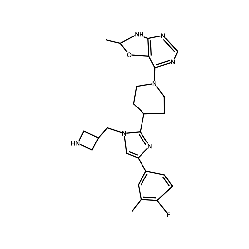 Cc1cc(-c2cn(CC3CNC3)c(C3CCN(c4ncnc5c4OC(C)N5)CC3)n2)ccc1F